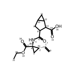 C=C[C@@H]1C[C@]1(NC(=O)C1CC2CC2C1C(=O)O)C(=O)OCC